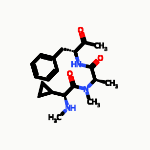 CN[C@H](C(=O)N(C)[C@H](C)C(=O)N[C@H](Cc1ccccc1)C(C)=O)C1CC1